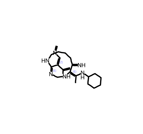 C=N/C=C(C(=C)C)\C1=N/CN/C(=C(\C)NC2CCCCC2)C(=N)CCCCN1